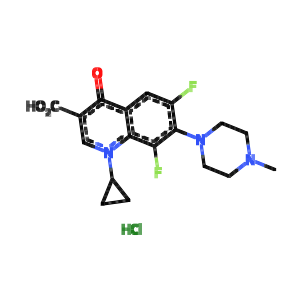 CN1CCN(c2c(F)cc3c(=O)c(C(=O)O)cn(C4CC4)c3c2F)CC1.Cl